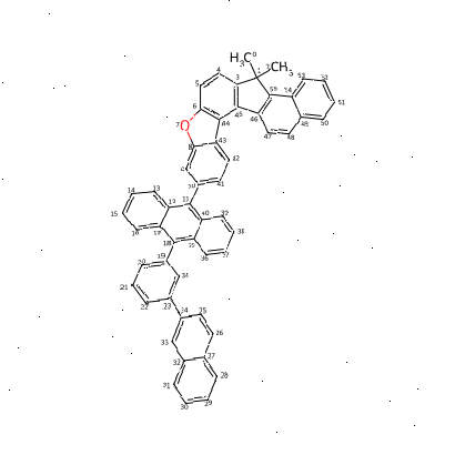 CC1(C)c2ccc3oc4cc(-c5c6ccccc6c(-c6cccc(-c7ccc8ccccc8c7)c6)c6ccccc56)ccc4c3c2-c2ccc3ccccc3c21